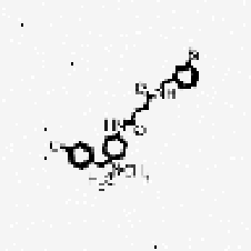 CN(C)C1(Cc2ccc(Cl)cc2)CCC(NC(=O)CCC(=O)NCc2cccc(Br)c2)CC1